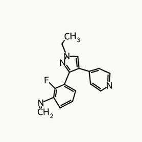 C=Nc1cccc(-c2nn(CC)cc2-c2ccncc2)c1F